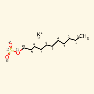 CCCCCCCCCCCO[S-](=O)=O.[K+]